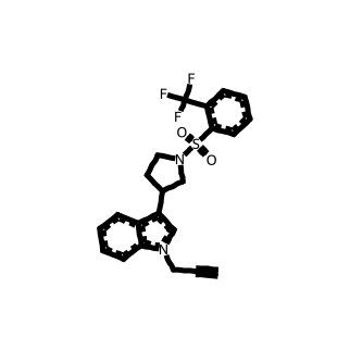 C#CCn1cc(C2CCN(S(=O)(=O)c3ccccc3C(F)(F)F)C2)c2ccccc21